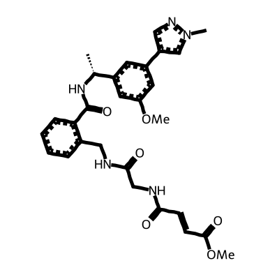 COC(=O)/C=C/C(=O)NCC(=O)NCc1ccccc1C(=O)N[C@H](C)c1cc(OC)cc(-c2cnn(C)c2)c1